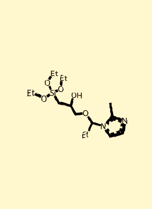 CCO[Si](CC(O)COC(CC)n1ccnc1C)(OCC)OCC